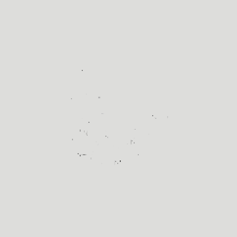 CN(C)CCN(C)c1ncc2ncn(-c3ccc(O)cc3)c2n1